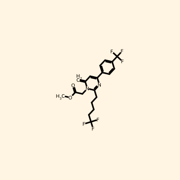 C=C1C=C(c2ccc(C(F)(F)F)cc2)N=C(CCCCC(F)(F)F)N1CC(=O)OC